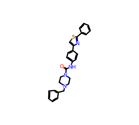 O=C(Nc1ccc(-c2csc(-c3ccccc3)n2)cc1)N1CCN(Cc2ccccc2)CC1